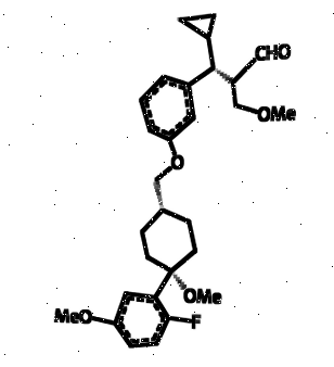 COCC(C=O)[C@H](c1cccc(OC[C@H]2CC[C@](OC)(c3cc(OC)ccc3F)CC2)c1)C1CC1